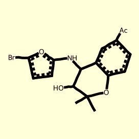 CC(=O)c1ccc2c(c1)C(Nc1ccc(Br)o1)C(O)C(C)(C)O2